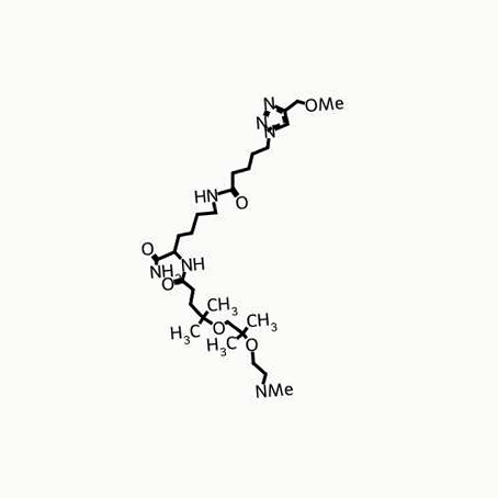 CNCCOC(C)(C)COC(C)(C)CCC(=O)NC(CCCCNC(=O)CCCCn1cc(COC)nn1)C(N)=O